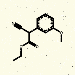 CCOC(=O)C(C#N)c1cccc(OC)c1